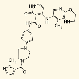 Cc1c(Nc2cc[nH]c(=O)c2C(=O)Nc2ccc(N3CCN(C(=O)c4ccnn4C)CC3)cc2)cnc2c1NCCO2